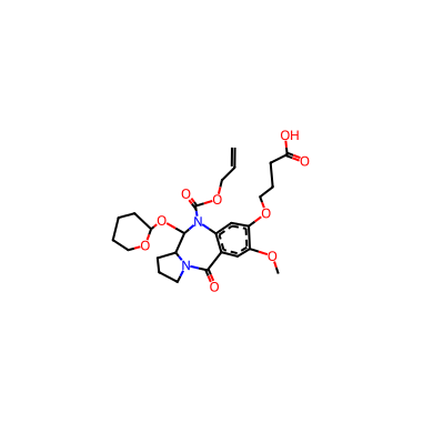 C=CCOC(=O)N1c2cc(OCCCC(=O)O)c(OC)cc2C(=O)N2CCCC2C1OC1CCCCO1